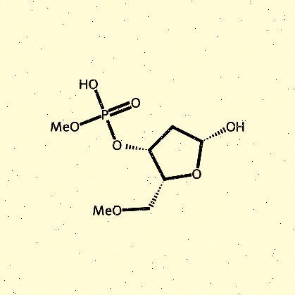 COC[C@H]1O[C@@H](O)C[C@H]1OP(=O)(O)OC